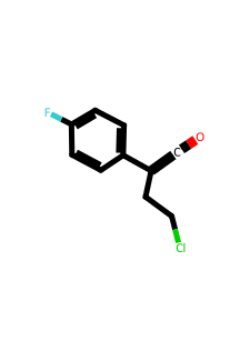 O=C=C(CCCl)c1ccc(F)cc1